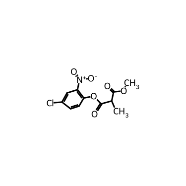 COC(=O)C(C)C(=O)Oc1ccc(Cl)cc1[N+](=O)[O-]